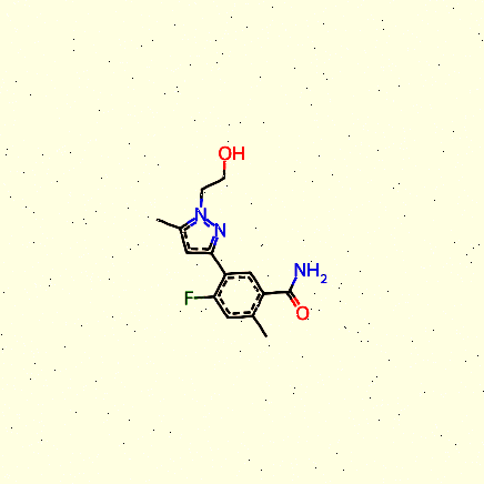 Cc1cc(F)c(-c2cc(C)n(CCO)n2)cc1C(N)=O